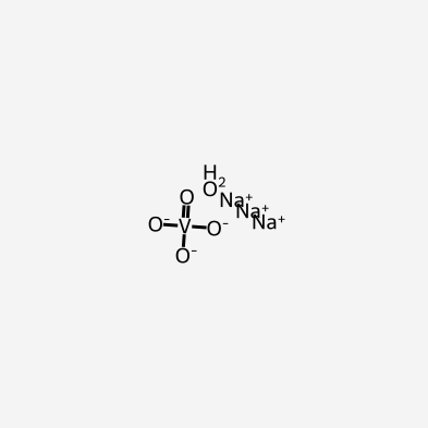 O.[Na+].[Na+].[Na+].[O]=[V]([O-])([O-])[O-]